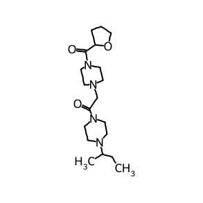 CCC(C)N1CCN(C(=O)CN2CCN(C(=O)C3CCCO3)CC2)CC1